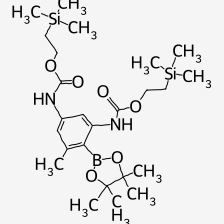 Cc1cc(NC(=O)OCC[Si](C)(C)C)cc(NC(=O)OCC[Si](C)(C)C)c1B1OC(C)(C)C(C)(C)O1